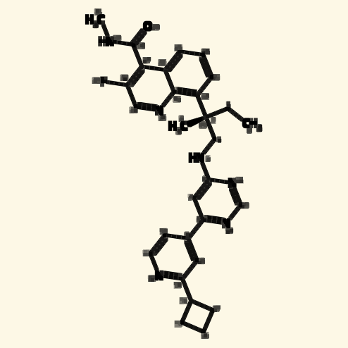 CC[C@](C)(CNc1cc(-c2ccnc(C3CCC3)c2)ncn1)c1cccc2c(C(=O)NC)c(F)cnc12